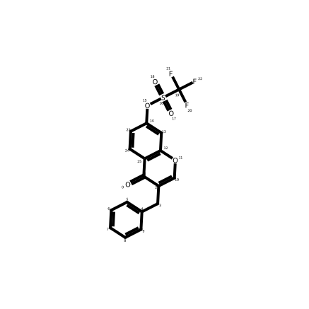 O=c1c(Cc2ccccc2)coc2cc(OS(=O)(=O)C(F)(F)F)ccc12